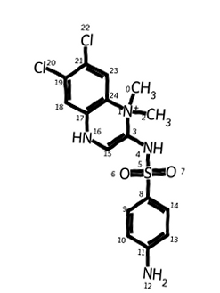 C[N+]1(C)C(NS(=O)(=O)c2ccc(N)cc2)=CNc2cc(Cl)c(Cl)cc21